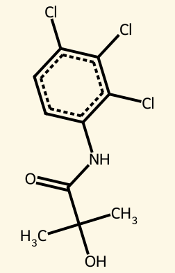 CC(C)(O)C(=O)Nc1ccc(Cl)c(Cl)c1Cl